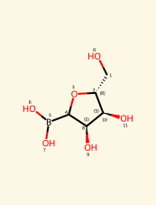 OC[C@H]1OC(B(O)O)[C@H](O)[C@@H]1O